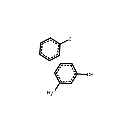 Cc1cccc(O)c1.Clc1ccccc1